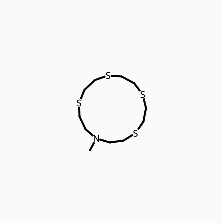 CN1CCSCCSCCSCCSCC1